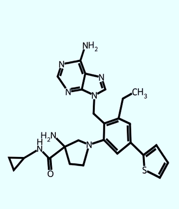 CCc1cc(-c2cccs2)cc(N2CCC(N)(C(=O)NC3CC3)C2)c1Cn1cnc2c(N)ncnc21